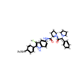 CC(=O)Nc1ccc(-c2[nH]c3ccc(NC(=O)[C@@H]4CCCN4C(=O)[C@@H](c4ccccc4)N4CCCC4)cc3c2F)cc1